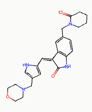 O=C1Nc2ccc(CN3CCCCC3=O)cc2C1=Cc1cc(CN2CCOCC2)c[nH]1